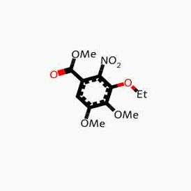 CCOc1c(OC)c(OC)cc(C(=O)OC)c1[N+](=O)[O-]